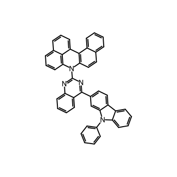 c1ccc(-n2c3ccccc3c3ccc(-c4nc(N5c6ccc7ccccc7c6-c6cccc7cccc5c67)nc5ccccc45)cc32)cc1